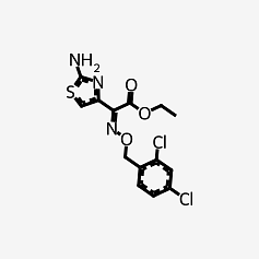 CCOC(=O)C(=NOCc1ccc(Cl)cc1Cl)c1csc(N)n1